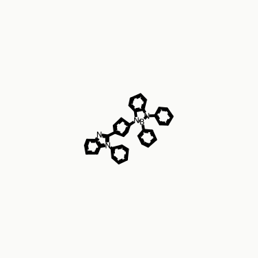 c1ccc(B2N(c3ccccc3)c3ccccc3N2c2ccc(-c3nc4ccccc4n3-c3ccccc3)cc2)cc1